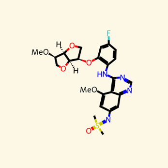 COc1cc(N=S(C)(C)=O)cc2ncnc(Nc3ccc(F)cc3O[C@@H]3CO[C@H]4[C@@H]3OC[C@H]4OC)c12